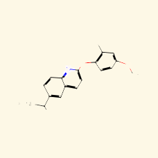 CC(=O)NC(C)c1ccc2nc(Oc3ccc(OC(C)C)cc3C(F)(F)F)ccc2c1